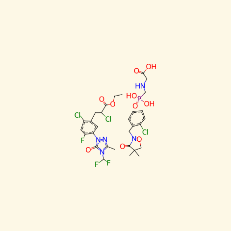 CC1(C)CON(Cc2ccccc2Cl)C1=O.CCOC(=O)C(Cl)Cc1cc(-n2nc(C)n(C(F)F)c2=O)c(F)cc1Cl.O=C(O)CNCP(=O)(O)O